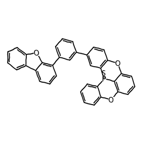 S=P12c3ccccc3Oc3cccc(c31)Oc1ccc(-c3cccc(-c4cccc5c4oc4ccccc45)c3)cc12